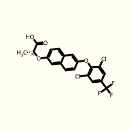 C[C@@H](Oc1ccc2cc(Oc3c(Cl)cc(C(F)(F)F)cc3Cl)ccc2c1)C(=O)O